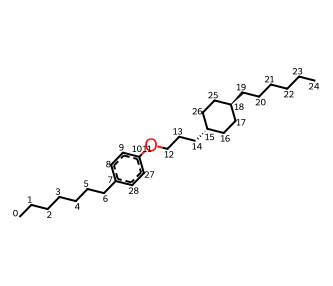 CCCCCCCc1ccc(OCCC[C@H]2CC[C@H](CCCCCC)CC2)cc1